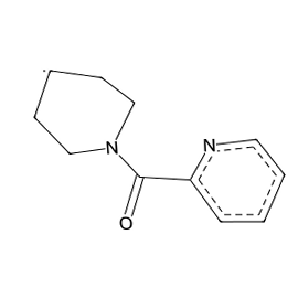 O=C(c1ccccn1)N1CC[CH]CC1